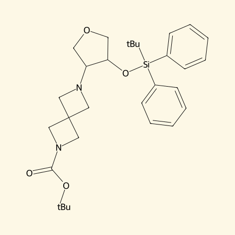 CC(C)(C)OC(=O)N1CC2(C1)CN(C1COCC1O[Si](c1ccccc1)(c1ccccc1)C(C)(C)C)C2